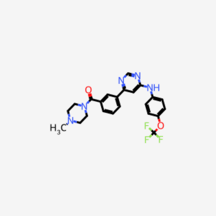 CN1CCN(C(=O)c2cccc(-c3cc(Nc4ccc(OC(F)(F)F)cc4)ncn3)c2)CC1